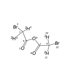 [2H]C([2H])(Br)C(=O)OC(=O)C([2H])([2H])Br